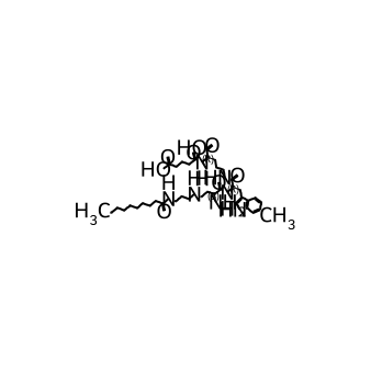 CCCCCCCCCC(=O)NCCCNCC[C@H](N)C(=O)N[C@H](Cc1c[nH]c2cc(C)ccc12)C(=O)NCCC[C@@H](NC(=O)CCCC(=O)O)C(=O)O